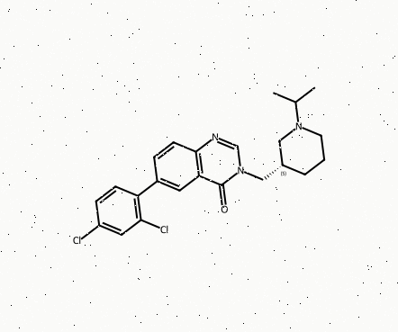 CC(C)N1CCC[C@H](Cn2cnc3ccc(-c4ccc(Cl)cc4Cl)cc3c2=O)C1